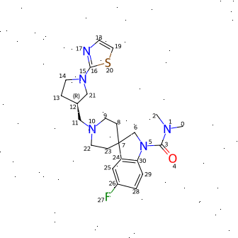 CN(C)C(=O)N1CC2(CCN(C[C@H]3CCN(c4nccs4)C3)CC2)c2cc(F)ccc21